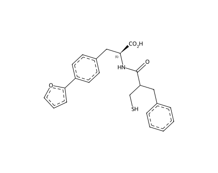 O=C(N[C@@H](Cc1ccc(-c2ccco2)cc1)C(=O)O)C(CS)Cc1ccccc1